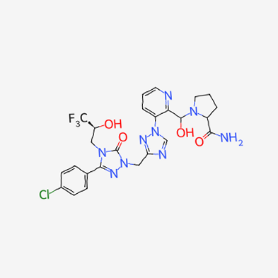 NC(=O)C1CCCN1C(O)c1ncccc1-n1cnc(Cn2nc(-c3ccc(Cl)cc3)n(C[C@H](O)C(F)(F)F)c2=O)n1